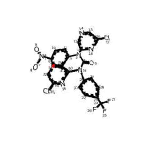 O=C(N(c1ccc([N+](=O)[O-])cc1)c1cncc(Cl)n1)N(c1ccc(C(F)(F)F)cc1)c1cncc(Cl)n1